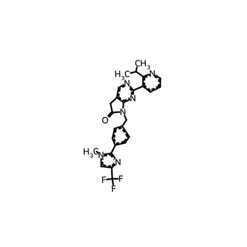 CC(C)c1ncccc1-c1ncc2c(n1)N(Cc1ccc(-c3nc(C(F)(F)F)cn3C)cc1)C(=O)C2